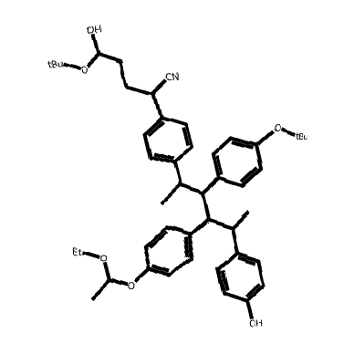 CCOC(C)Oc1ccc(C(C(C)c2ccc(O)cc2)C(c2ccc(OC(C)(C)C)cc2)C(C)c2ccc(C(C#N)CCC(O)OC(C)(C)C)cc2)cc1